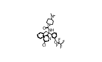 CN(C)C1CCN(C(=O)N[C@](Cc2ccccc2)(c2cccc(OC(F)(F)C(F)F)c2)c2ccc(Cl)cn2)CC1